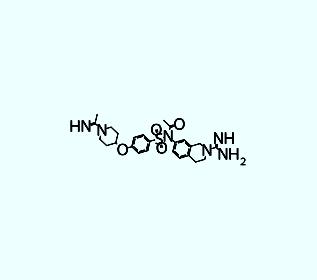 CC(=N)N1CCC(Oc2ccc(S(=O)(=O)N(C(C)=O)c3ccc4c(c3)CN(C(=N)N)CC4)cc2)CC1